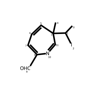 CC(I)C1(C)C=CC=C(C=O)N=C1